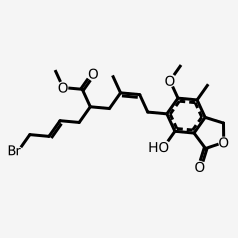 COC(=O)C(CC=CCBr)CC(C)=CCc1c(O)c2c(c(C)c1OC)COC2=O